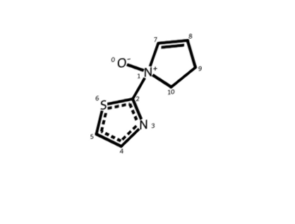 [O-][N+]1(c2nccs2)C=CCC1